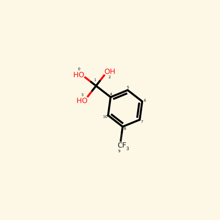 OC(O)(O)c1cccc(C(F)(F)F)c1